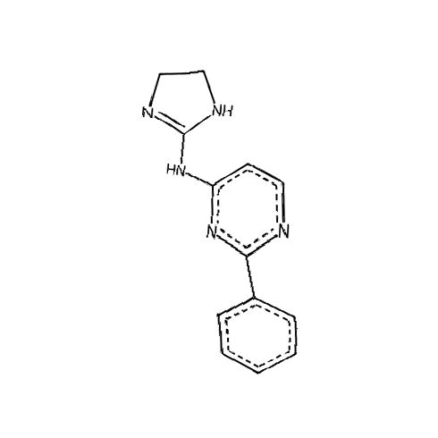 c1ccc(-c2nccc(NC3=NCCN3)n2)cc1